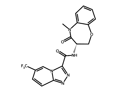 CN1C(=O)[C@@H](NC(=O)c2nnc3ccc(C(F)(F)F)cn23)COc2ccccc21